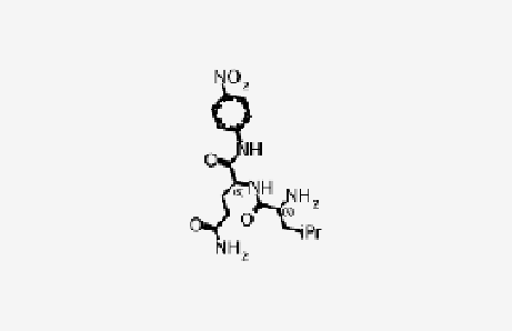 CC(C)C[C@H](N)C(=O)N[C@@H](CCC(N)=O)C(=O)Nc1ccc([N+](=O)[O-])cc1